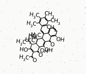 CC(=O)C1=C(O)C(C(C)C)[C@@]2(C)[C@H](O)[C@]3(C)C(=C(O)[C@@]2(O)C1=O)C(=O)c1c(O)cccc1/C3=C\c1c(C)c(C)c(C)c(C)c1C